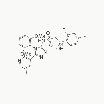 COc1cccc(OC)c1-n1c(NS(=O)(=O)C[C@H](O)c2ccc(F)cc2F)nnc1-c1cncc(C)c1